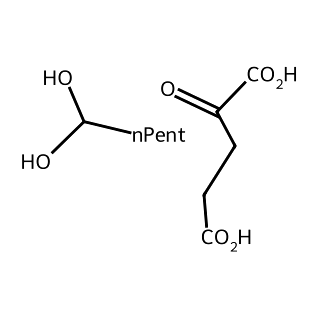 CCCCCC(O)O.O=C(O)CCC(=O)C(=O)O